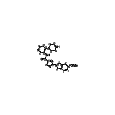 COc1ccc2c(c1)CN(c1ncc(C(=O)Nc3cnccc3N3CCNCC3)o1)C2